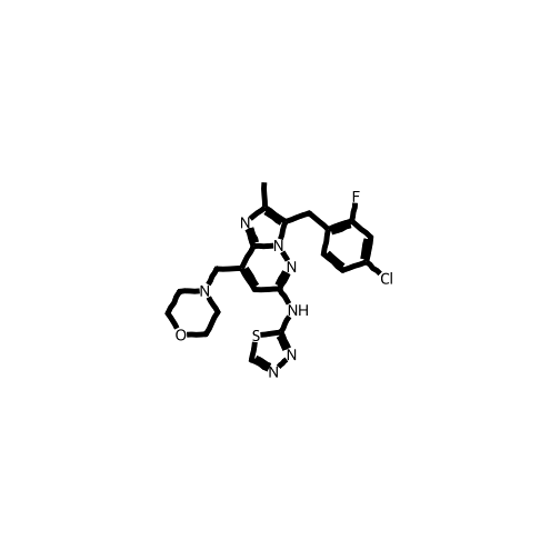 Cc1nc2c(CN3CCOCC3)cc(Nc3nncs3)nn2c1Cc1ccc(Cl)cc1F